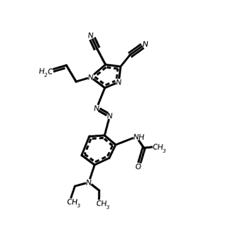 C=CCn1c(/N=N/c2ccc(N(CC)CC)cc2NC(C)=O)nc(C#N)c1C#N